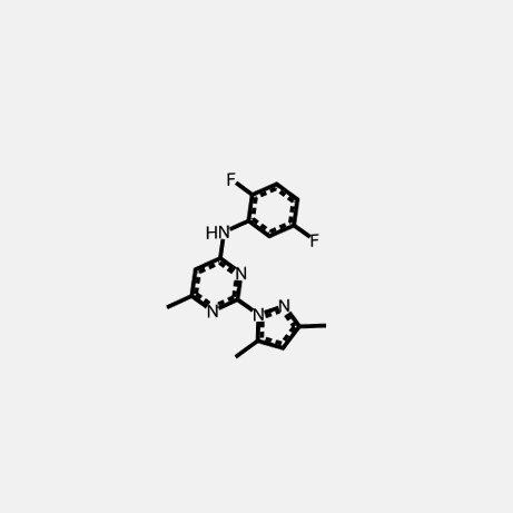 Cc1cc(Nc2cc(F)ccc2F)nc(-n2nc(C)cc2C)n1